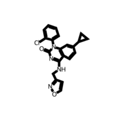 O=c1nc(NCc2ccon2)c2ccc(C3CC3)cc2n1-c1ccccc1Cl